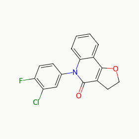 O=c1c2c(c3ccccc3n1-c1ccc(F)c(Cl)c1)OCC2